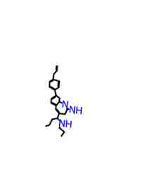 C=CCc1ccc(C2=CC=C3C=C(C(CCC)NCCC)CC(NC)=NC3C2)cc1